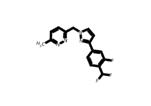 Cc1ccc(Cn2ccc(-c3ccc(C(F)F)c(F)c3)n2)nn1